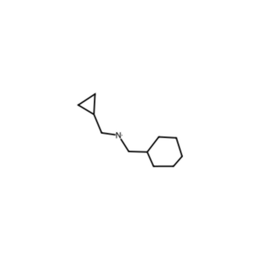 C1CCC(C[N]CC2CC2)CC1